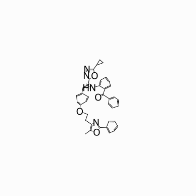 Cc1oc(-c2ccccc2)nc1CCOc1ccc(C[C@H](Nc2ccccc2C(=O)c2ccccc2)c2nnc(C3CC3)o2)cc1